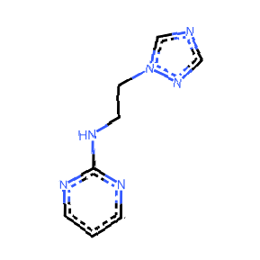 [c]1ccnc(NCCn2cncn2)n1